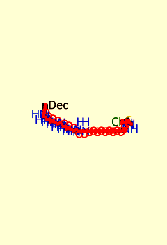 CCCCCCCCCCCCCCCC(=O)Nc1cn(C)c(C(=O)Nc2cc(C(=O)NCCC(=O)Nc3cn(C)c(C(=O)Nc4cc(C(=O)NCCC(=O)Nc5cn(C)c(C(=O)NCCC(=O)NCCOCCOCCOCCOCCOCCOCCOCCOCCOc6ccc(NC(=O)C[C@@H]7N=C(c8ccc(Cl)cc8)c8c(sc(C)c8C)-n8c(C)nnc87)cc6)n5)n(C)c4)n3)n(C)c2)n1